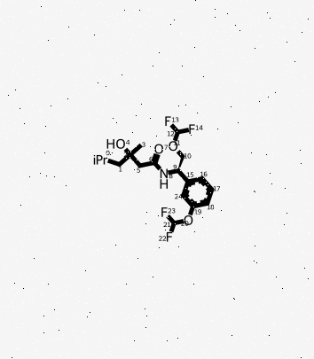 CC(C)CC(C)(O)CC(=O)N[C@@H](COC(F)F)c1cccc(OC(F)F)c1